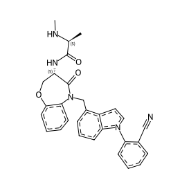 CN[C@@H](C)C(=O)N[C@H]1COc2ccccc2N(Cc2cccc3c2ccn3-c2ccccc2C#N)C1=O